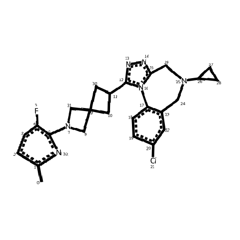 Cc1ccc(F)c(N2CC3(CC(c4nnc5n4-c4ccc(Cl)cc4CN(C4CC4)C5)C3)C2)n1